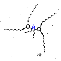 CCCCCCCCCCC#Cc1cc(C#CCCCCCCCCCC)cc(C2=C(CCCC)C(CCCC)=C(c3cc(C#CCCCCCCCCCC)cc(C#CCCCCCCCCCC)c3)[N+]2=[N-])c1.[CH3][Ni][CH3]